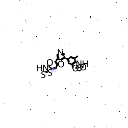 Cc1cc(-c2cncc3cc(/C=C4/SC(=S)NC4=O)oc23)cc(C)c1NS(C)(=O)=O